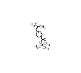 C[C](C)CN1CCN(C(=O)OC(C)(C)C)CC1